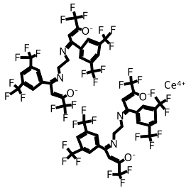 [Ce+4].[O-]/C(=C\C(=N\CC/N=C(/C=C(\[O-])C(F)(F)F)c1cc(C(F)(F)F)cc(C(F)(F)F)c1)c1cc(C(F)(F)F)cc(C(F)(F)F)c1)C(F)(F)F.[O-]/C(=C\C(=N\CC/N=C(/C=C(\[O-])C(F)(F)F)c1cc(C(F)(F)F)cc(C(F)(F)F)c1)c1cc(C(F)(F)F)cc(C(F)(F)F)c1)C(F)(F)F